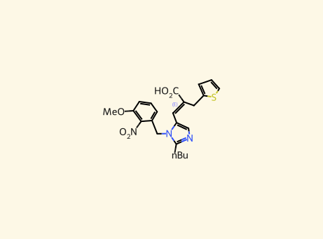 CCCCc1ncc(/C=C(\Cc2cccs2)C(=O)O)n1Cc1cccc(OC)c1[N+](=O)[O-]